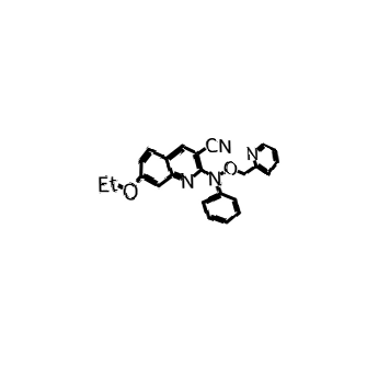 CCOc1ccc2cc(C#N)c(N(OCc3ccccn3)c3ccccc3)nc2c1